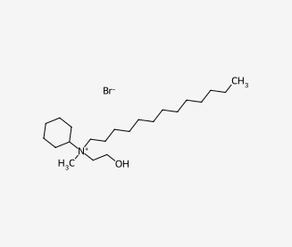 CCCCCCCCCCCCC[N+](C)(CCO)C1CCCCC1.[Br-]